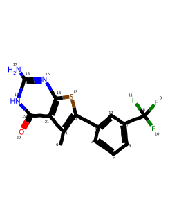 Cc1c(-c2cccc(C(F)(F)F)c2)sc2nc(N)[nH]c(=O)c12